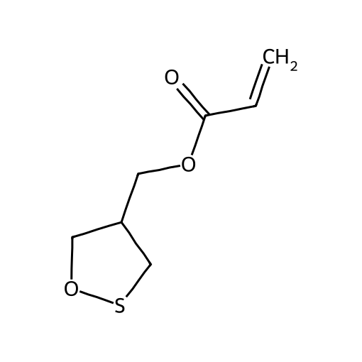 C=CC(=O)OCC1COSC1